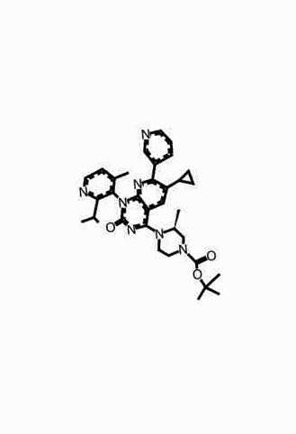 Cc1ccnc(C(C)C)c1-n1c(=O)nc(N2CCN(C(=O)OC(C)(C)C)C[C@@H]2C)c2cc(C3CC3)c(-c3cccnc3)nc21